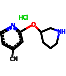 Cl.N#Cc1ccnc(OC2CCCNC2)c1